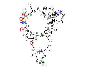 COc1ncccc1[C@@]1(OC)/C=C/C[C@H](C)[C@@H](C)S(=O)(=O)NC(=O)c2ccc3c(c2)N(CCCCc2cc(Cl)ccc2CO3)C[C@@H]2CC[C@H]21